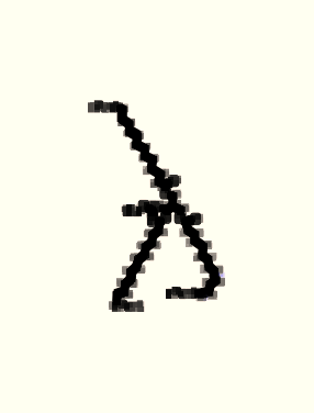 CCCCCC=CCC=CCCCCCCCC(=O)OCC(COC(=O)CCCCCCC/C=C\C/C=C\CCCCC)C(NC(=O)OC(C)(C)C)OC(=O)CCCCCCCC=CCC=CCCCCC